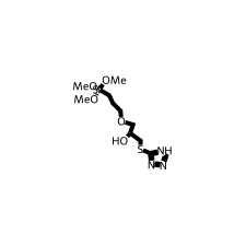 CO[Si](CCCOCC(O)CSc1nnc[nH]1)(OC)OC